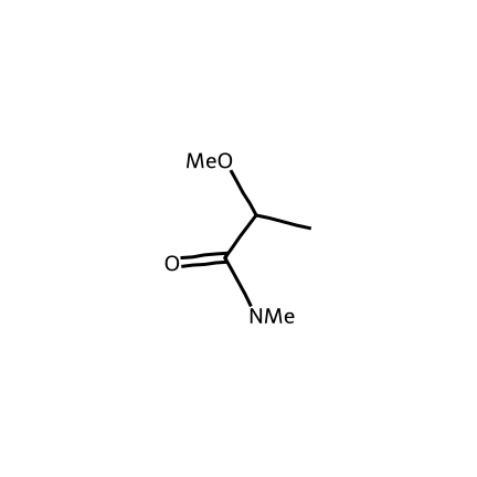 [CH2]NC(=O)C(C)OC